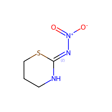 O=[N+]([O-])/N=C1/NCCCS1